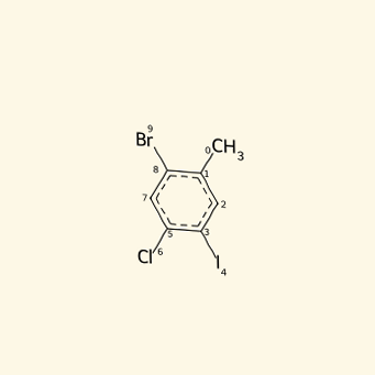 Cc1cc(I)c(Cl)cc1Br